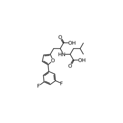 CC(C)CC(NC(Cc1ccc(-c2cc(F)cc(F)c2)o1)C(=O)O)C(=O)O